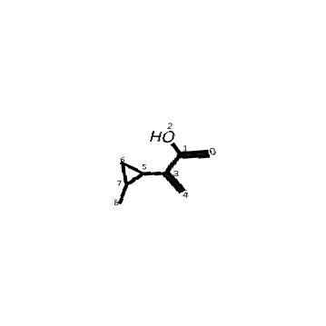 C=C(O)C(=C)C1CC1C